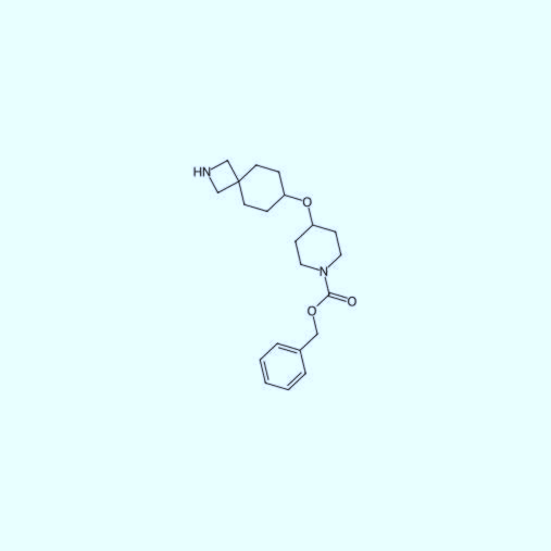 O=C(OCc1ccccc1)N1CCC(OC2CCC3(CC2)CNC3)CC1